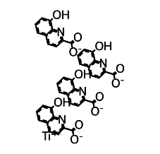 O=C([O-])c1ccc2cccc(O)c2n1.O=C([O-])c1ccc2cccc(O)c2n1.O=C([O-])c1ccc2cccc(O)c2n1.O=C([O-])c1ccc2cccc(O)c2n1.[Ti+4]